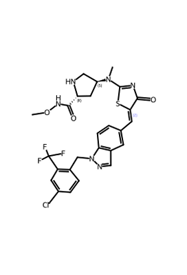 CONC(=O)[C@H]1C[C@H](N(C)C2=NC(=O)/C(=C/c3ccc4c(cnn4Cc4ccc(Cl)cc4C(F)(F)F)c3)S2)CN1